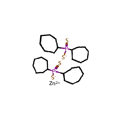 S=P([S-])(C1CCCCCC1)C1CCCCCC1.S=P([S-])(C1CCCCCC1)C1CCCCCC1.[Zn+2]